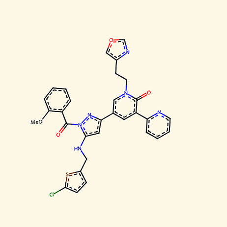 COc1ccccc1C(=O)n1nc(-c2cc(-c3ccccn3)c(=O)n(CCc3cocn3)c2)cc1NCc1ccc(Cl)s1